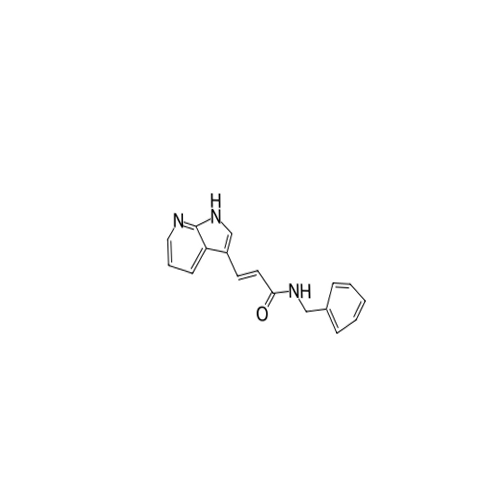 O=C(C=Cc1c[nH]c2ncccc12)NCc1ccccc1